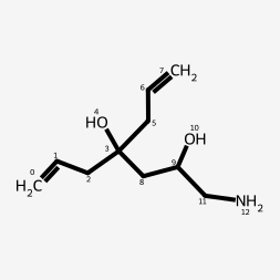 C=CCC(O)(CC=C)CC(O)CN